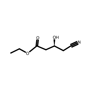 CCOC(=O)C[C@@H](O)CC#N